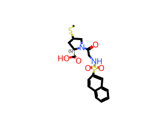 CSC1C[C@@H](C(=O)O)N(C(=O)CNS(=O)(=O)c2ccc3ccccc3c2)C1